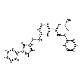 O=C(N[C@H](CCO)c1ccccc1)c1cccc(NCc2n[nH]c(-c3ccncc3)n2)c1